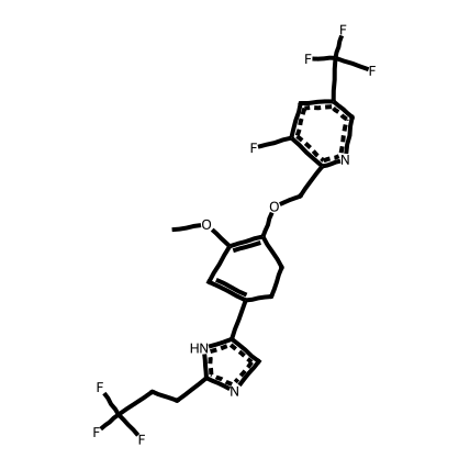 COC1=C(OCc2ncc(C(F)(F)F)cc2F)CCC(c2cnc(CCC(F)(F)F)[nH]2)=C1